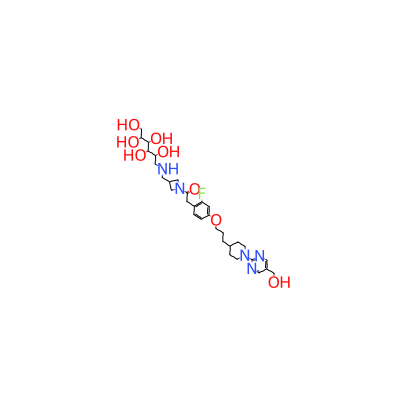 O=C(Cc1ccc(OCCCC2CCN(c3ncc(CO)cn3)CC2)cc1F)N1CC(CNCC(O)C(O)C(O)C(O)CO)C1